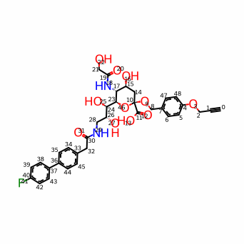 C#CCOc1ccc(CO[C@]2(C(=O)O)C[C@H](O)[C@@H](NC(=O)CO)[C@H]([C@H](O)[C@H](O)CNC(=O)Cc3ccc(-c4ccc(F)cc4)cc3)O2)cc1